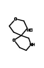 C1COC2(CCOCC2)CN1.Cl